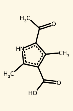 CC(=O)c1[nH]c(C)c(C(=O)O)c1C